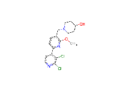 COc1nc(-c2ccnc(Cl)c2Cl)ccc1CN1CCC(O)CC1